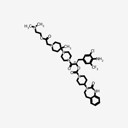 CN(C)CCOC(=O)CN1CCC(C)(N2CCN(C(=O)[C@@H](Cc3cc(Cl)c(N)c(C(F)(F)F)c3)OC(=O)N3CCC(N4CCc5ccccc5NC4=O)CC3)CC2)CC1